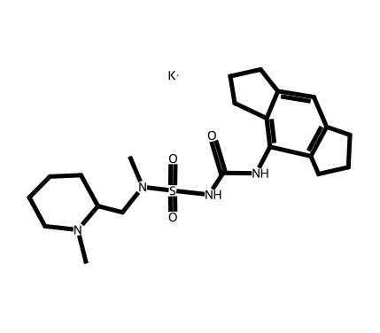 CN1CCCCC1CN(C)S(=O)(=O)NC(=O)Nc1c2c(cc3c1CCC3)CCC2.[K]